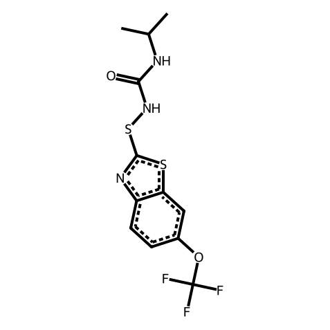 CC(C)NC(=O)NSc1nc2ccc(OC(F)(F)F)cc2s1